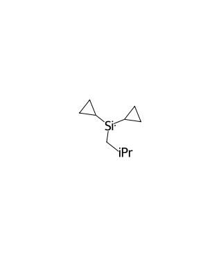 CC(C)C[Si](C1CC1)C1CC1